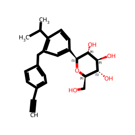 C#Cc1ccc(Cc2cc([C@@H]3O[C@H](CO)[C@@H](O)[C@H](O)[C@H]3O)ccc2C(C)C)cc1